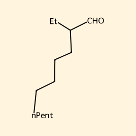 CCCCCCCCCC(C=O)CC